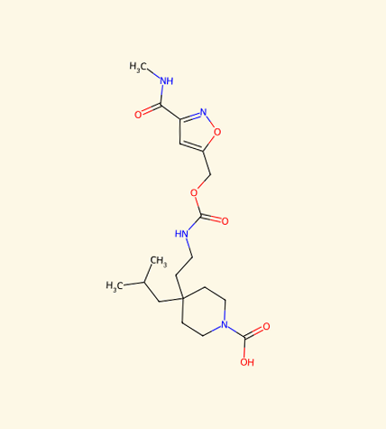 CNC(=O)c1cc(COC(=O)NCCC2(CC(C)C)CCN(C(=O)O)CC2)on1